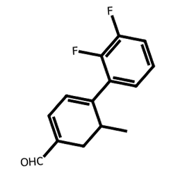 CC1CC(C=O)=CC=C1c1cccc(F)c1F